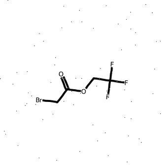 O=C(CBr)OCC(F)(F)F